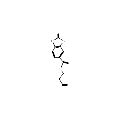 O=C(O)CCNC(=O)c1ccc2[nH]c(=O)[nH]c2c1